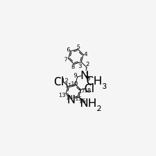 CN(Cc1ccccc1)Cc1c(Cl)cnc(N)c1Cl